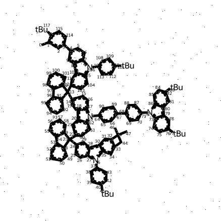 Cc1cc(-c2ccc3c(c2)c2cc(C4(c5ccc6c(c5)c5cc(C7(c8ccc9c(c8)c8cc%10c(cc8n9-c8ccc(C(C)(C)C)cc8)CC%10(C)C)c8ccccc8-c8ccccc87)ccc5n6-c5ccc(-c6ccc(-n7c8ccc(C(C)(C)C)cc8c8cc(C(C)(C)C)ccc87)cc6)cc5)c5ccccc5-c5ccccc54)ccc2n3-c2ccc(C(C)(C)C)cc2)ccc1C(C)(C)C